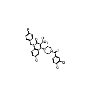 O=C(c1ccc(Cl)c(Cl)c1)N1CCN(c2c([N+](=O)[O-])c(=O)n(Cc3ccc(F)cc3)c3ccc(Cl)cc23)CC1